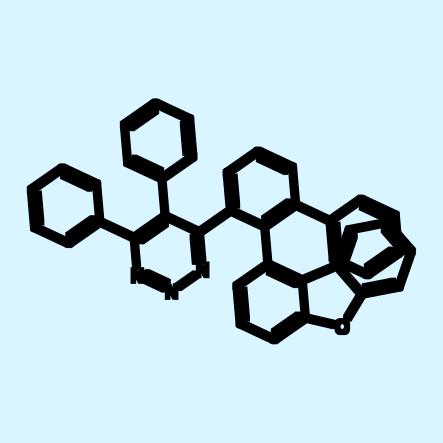 c1ccc(-c2cccc(-c3nnnc(-c4ccccc4)c3-c3ccccc3)c2-c2cccc3oc4ccccc4c23)cc1